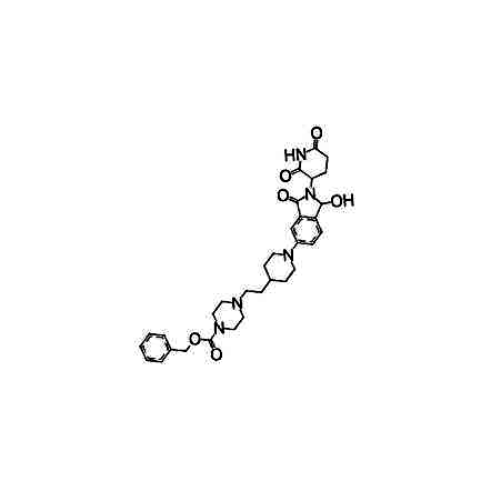 O=C1CCC(N2C(=O)c3cc(N4CCC(CCN5CCN(C(=O)OCc6ccccc6)CC5)CC4)ccc3C2O)C(=O)N1